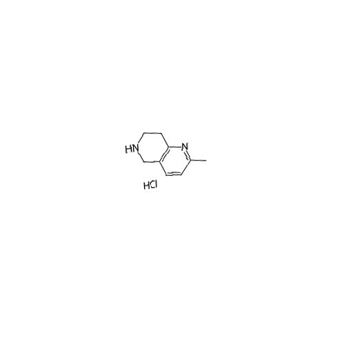 Cc1ccc2c(n1)CCNC2.Cl